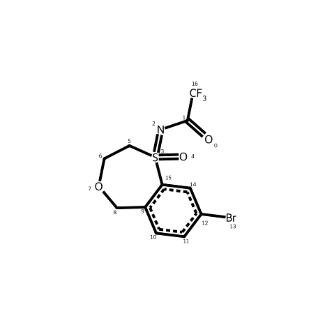 O=C(N=S1(=O)CCOCc2ccc(Br)cc21)C(F)(F)F